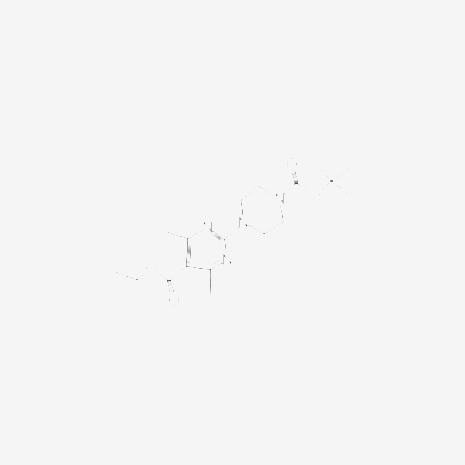 CCOC(=O)c1c(C)nc(N2CCN(C(=O)OC(C)(C)C)CC2)nc1C